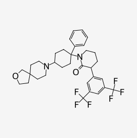 O=C1C(c2cc(C(F)(F)F)cc(C(F)(F)F)c2)CCCN1C1(c2ccccc2)CCC(N2CCC3(CCOC3)CC2)CC1